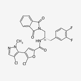 Cn1ncc(Cl)c1-c1cc(C(=O)N[C@@H](Cc2ccc(F)c(F)c2)CN2C(=O)c3ccccc3C2=O)oc1Cl